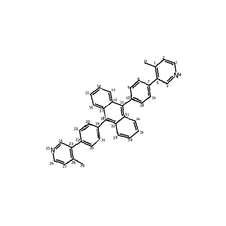 Cc1ccncc1-c1ccc(-c2c3ccccc3c(-c3ccc(-c4cnccc4C)cc3)c3ccccc23)cc1